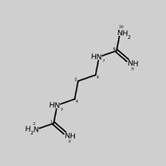 N=C(N)NC[CH]CNC(=N)N